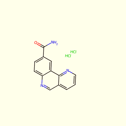 Cl.Cl.NC(=O)c1ccc2ncc3cccnc3c2c1